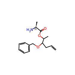 C=CCC(OCc1ccccc1)C(C)OC(=O)[C@H](C)N